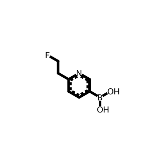 OB(O)c1ccc(CCF)nc1